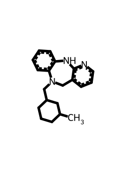 CC1CCCC(CN2Cc3cccnc3Nc3ccccc32)C1